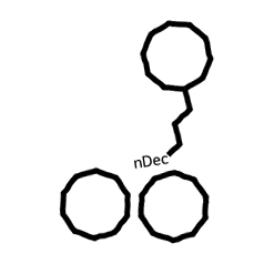 C1CCCCCCCCC1.C1CCCCCCCCC1.CCCCCCCCCCCCCC1CCCCCCCCC1